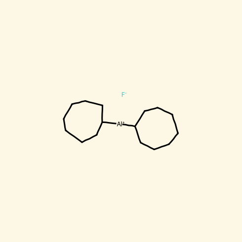 C1CCC[CH]([Al+][CH]2CCCCCCC2)CCC1.[F-]